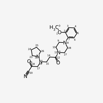 COc1ccccc1N1CCN(C(=O)CCN(CC(=O)C#N)N2CCCC2)CC1